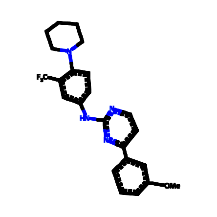 COc1cccc(-c2ccnc(Nc3ccc(N4CCCCC4)c(C(F)(F)F)c3)n2)c1